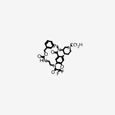 Cc1cc2c(cc1C(=O)N(C(C)C)C1CCCN(C(=O)O)C1)N(CCNC(=O)OCc1ccccc1)C(=O)C(F)(F)O2